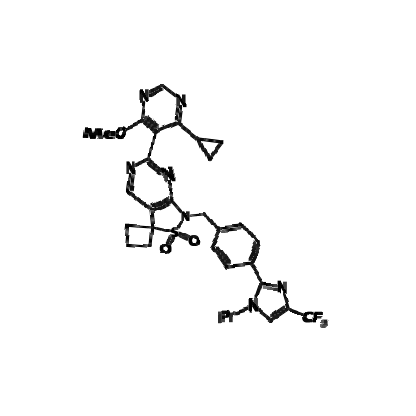 COc1ncnc(C2CC2)c1-c1ncc2c(n1)N(Cc1ccc(-c3nc(C(F)(F)F)cn3C(C)C)cc1)S(=O)(=O)C21CCC1